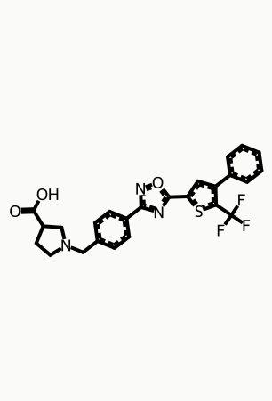 O=C(O)C1CCN(Cc2ccc(-c3noc(-c4cc(-c5ccccc5)c(C(F)(F)F)s4)n3)cc2)C1